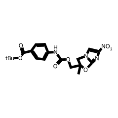 CC(C)(C)OC(=O)c1ccc(NC(=O)OCC2(C)Cn3cc([N+](=O)[O-])nc3O2)cc1